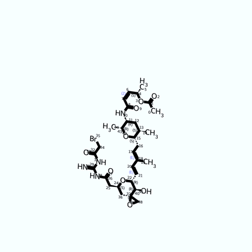 CC(=O)O[C@@H](C)/C=C\C(=O)N[C@@H]1C[C@H](C)[C@H](C/C=C(C)/C=C/[C@H]2O[C@H](CC(=O)NC(=N)NC(=O)CBr)C[C@@]3(CO3)[C@@H]2O)O[C@@H]1C